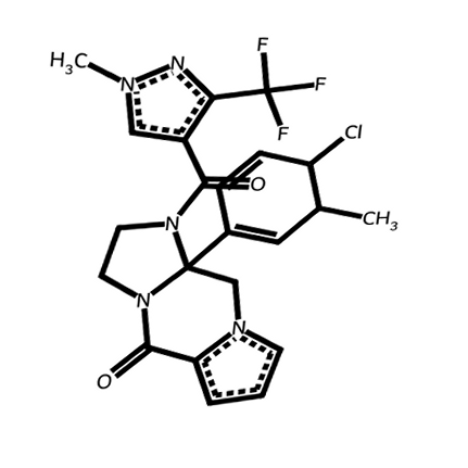 CC1C=C(C23Cn4cccc4C(=O)N2CCN3C(=O)c2cn(C)nc2C(F)(F)F)C=CC1Cl